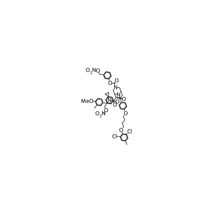 COc1ccc(CN(C(=O)C2=C(c3ccc(OCCCCOc4c(Cl)cc(C)cc4Cl)cc3)CC3CN(C(=O)Oc4cccc(CO[N+](=O)[O-])c4)CC2N3C(=O)Oc2cccc(CO[N+](=O)[O-])c2)C2CC2)cc1C